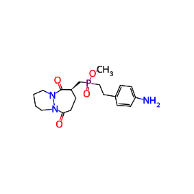 COP(=O)(CCc1ccc(N)cc1)C[C@H]1CCC(=O)N2CCCCN2C1=O